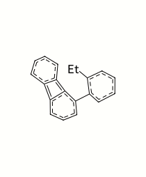 CCc1ccccc1-c1cccc2c1=c1ccccc1=2